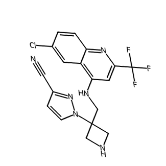 N#Cc1ccn(C2(CNc3cc(C(F)(F)F)nc4ccc(Cl)cc34)CNC2)n1